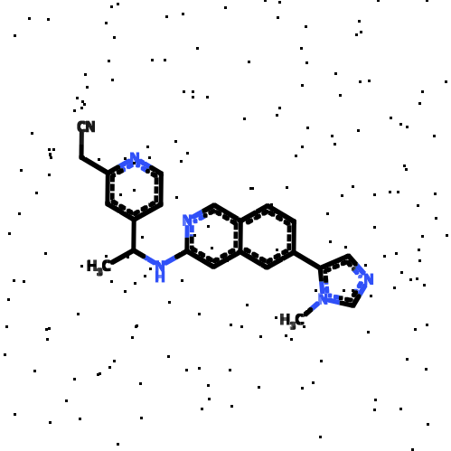 CC(Nc1cc2cc(-c3cncn3C)ccc2cn1)c1ccnc(CC#N)c1